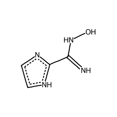 N=C(NO)c1ncc[nH]1